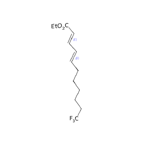 CCOC(=O)/C=C/C=C/CCCCCC(F)(F)F